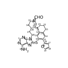 Nc1ncnc2c1nc(Sc1cc3c(cc1-c1ccco1)CCCS3)n2CCC1CCN(C=O)CC1